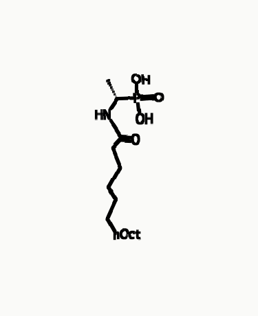 CCCCCCCCCCCCCC(=O)N[C@H](C)P(=O)(O)O